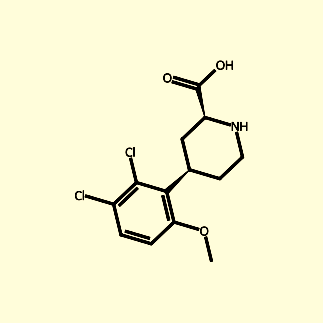 COc1ccc(Cl)c(Cl)c1[C@@H]1CCN[C@H](C(=O)O)C1